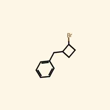 BrC1CCC1Cc1ccccc1